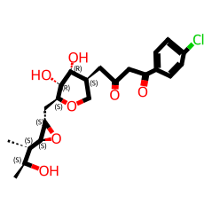 C[C@H]([C@@H]1O[C@H]1C[C@@H]1OC[C@H](CC(=O)CC(=O)c2ccc(Cl)cc2)[C@@H](O)[C@H]1O)[C@H](C)O